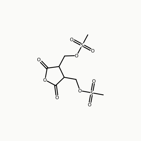 CS(=O)(=O)OCC1C(=O)OC(=O)C1COS(C)(=O)=O